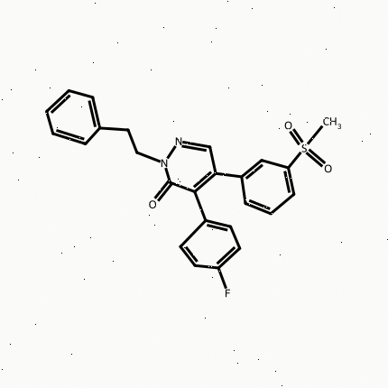 CS(=O)(=O)c1cccc(-c2cnn(CCc3ccccc3)c(=O)c2-c2ccc(F)cc2)c1